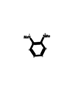 CNc1[c]cccc1NC